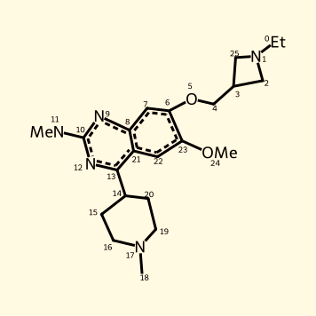 CCN1CC(COc2cc3nc(NC)nc(C4CCN(C)CC4)c3cc2OC)C1